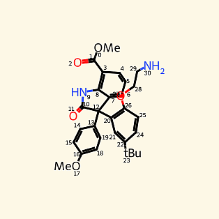 COC(=O)c1cccc2c1NC(=O)C2(c1ccc(OC)cc1)c1cc(C(C)(C)C)ccc1OCCN